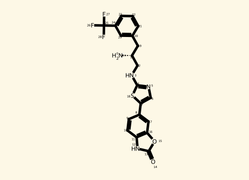 N[C@@H](CNc1ncc(-c2ccc3[nH]c(=O)oc3c2)s1)Cc1cccc(C(F)(F)F)c1